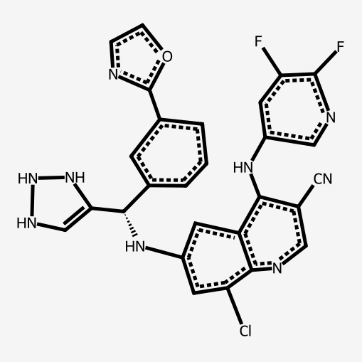 N#Cc1cnc2c(Cl)cc(N[C@H](C3=CNNN3)c3cccc(-c4ncco4)c3)cc2c1Nc1cnc(F)c(F)c1